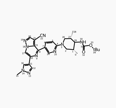 C[C@@H]1CN(c2ccc(-c3nc(-c4cnn(C)c4)cn4ncc(C#N)c34)cn2)C[C@H](C)C1NC(=O)OC(C)(C)C